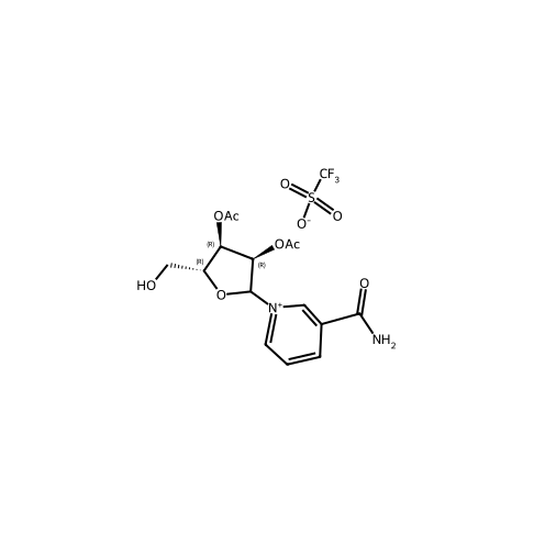 CC(=O)O[C@@H]1[C@@H](CO)OC([n+]2cccc(C(N)=O)c2)[C@@H]1OC(C)=O.O=S(=O)([O-])C(F)(F)F